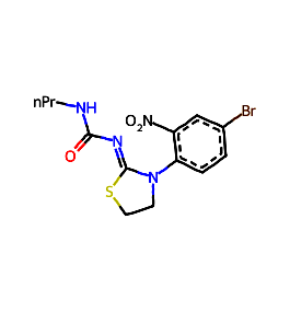 CCCNC(=O)N=C1SCCN1c1ccc(Br)cc1[N+](=O)[O-]